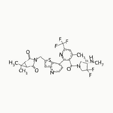 CN[C@H]1CN(C(=O)c2c(C)cc(C(F)(F)F)nc2-c2ccnc3cc(CN4C(=O)C5C(C4=O)C5(C)C)sc23)CC1(F)F